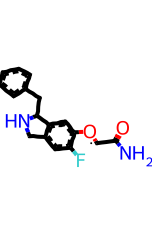 NC(=O)[CH]Oc1cc2c(cc1F)CNC2Cc1ccccc1